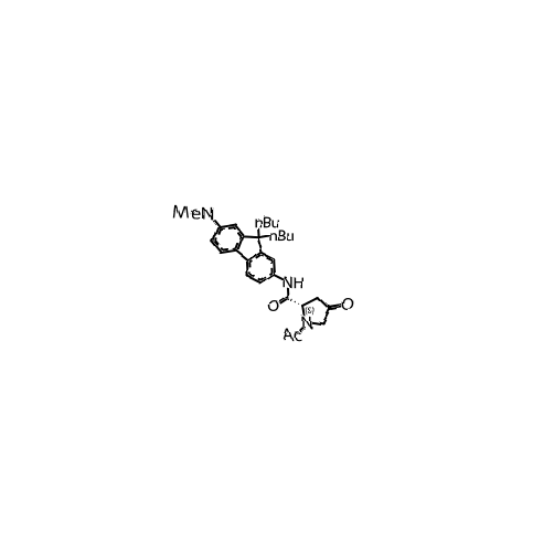 CCCCC1(CCCC)c2cc(NC)ccc2-c2ccc(NC(=O)[C@@H]3CC(=O)CN3C(C)=O)cc21